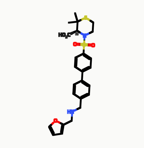 CC1(C)SCCN(S(=O)(=O)c2ccc(-c3ccc(CNCc4ccco4)cc3)cc2)[C@H]1C(=O)O